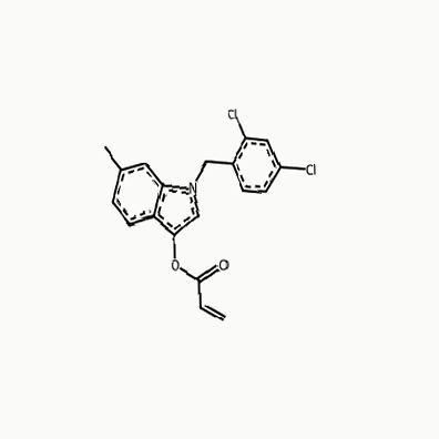 C=CC(=O)Oc1cn(Cc2ccc(Cl)cc2Cl)c2cc(C)ccc12